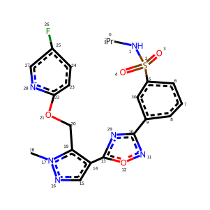 CC(C)NS(=O)(=O)c1cccc(-c2noc(-c3cnn(C)c3COc3ccc(F)cn3)n2)c1